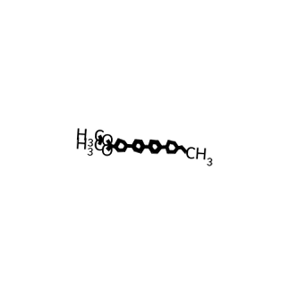 CCCC1CCC(c2ccc(-c3ccc(C4CC=C(C(=O)OC(C)C)CC4)cc3)cc2)CC1